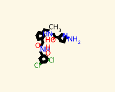 C[C@H](Cc1cccc(CC(=O)NCc2cc(Cl)cc(Cl)c2O)c1)NC[C@H](O)c1ccc(N)nc1